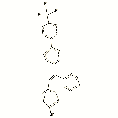 FC(F)(F)c1ccc(-c2ccc(C(=Cc3ccc(Br)cc3)c3ccccc3)cc2)cc1